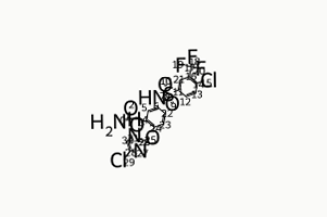 NC(=O)Oc1cc(NS(=O)(=O)c2ccc(Cl)c(C(F)(F)F)c2)ccc1Oc1nc(Cl)c[nH]1